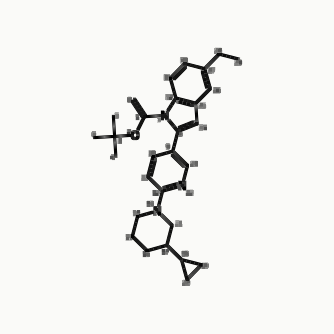 C=C(OC(C)(C)C)n1c(-c2ccc(N3CCCC(C4CC4)C3)nc2)cc2cc(CC)ccc21